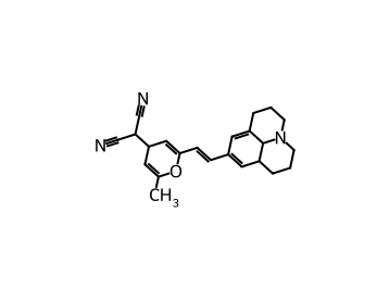 CC1=CC(C(C#N)C#N)C=C(/C=C/C2=CC3CCCN4CCCC(=C2)C34)O1